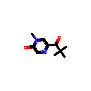 Cn1cc(C(=O)C(C)(C)C)ncc1=O